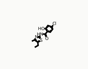 CCc1sc(NC(=O)c2ccc(Cl)cc2O)nc1C